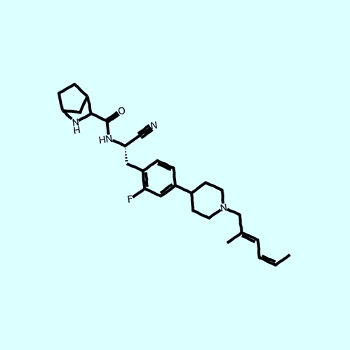 C/C=C\C=C(/C)CN1CCC(c2ccc(C[C@@H](C#N)NC(=O)C3NC4CCC3C4)c(F)c2)CC1